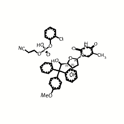 COc1ccc(C(c2ccccc2)(c2ccccc2)C(O)[C@H]2O[C@@H](n3cc(C)c(=O)[nH]c3=O)C[C@@H]2O)cc1.N#CCCOP(=O)(O)Oc1ccccc1Cl